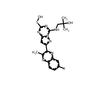 Cc1nc2ccc(F)cc2nc1-c1cc2nc(SO)nc(NCC(C)(C)O)n2n1